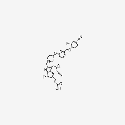 N#CCC1(Cn2c(CN3CCC(Oc4cccc(COc5ccc(C#N)cc5F)n4)CC3)nc3c(F)cc(/C=C/C(=O)O)cc32)CC1